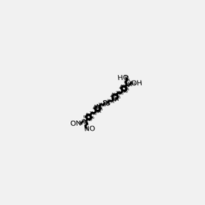 O=NCCN(CCN=O)c1ccc(/C=C/c2cc[n+](CCSSCCN3C=CC(/C=C/c4ccc(N(CCO)CCO)cc4)=CC3)cc2)cc1